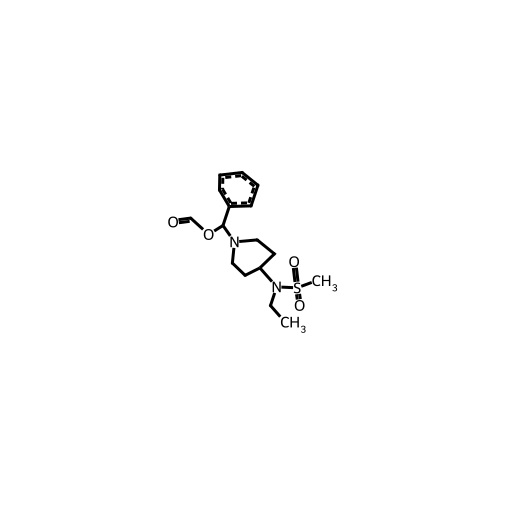 CCN(C1CCN(C(OC=O)c2ccccc2)CC1)S(C)(=O)=O